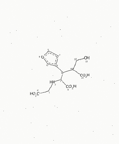 O=C(O)CNC(C(=O)O)C(c1ccoc1)C(CO)C(=O)O